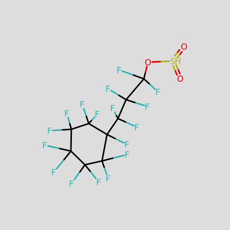 O=[SH](=O)OC(F)(F)C(F)(F)C(F)(F)C1(F)C(F)(F)C(F)(F)C(F)(F)C(F)(F)C1(F)F